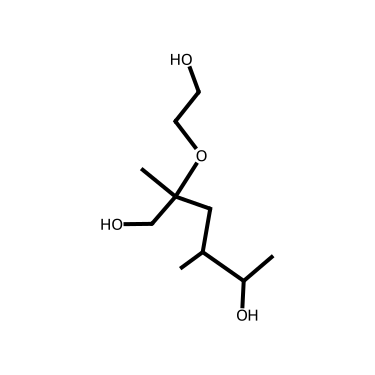 CC(O)C(C)CC(C)(CO)OCCO